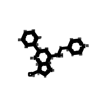 Clc1cnn2c(NCc3ccncc3)cc(-c3ccccc3)nc12